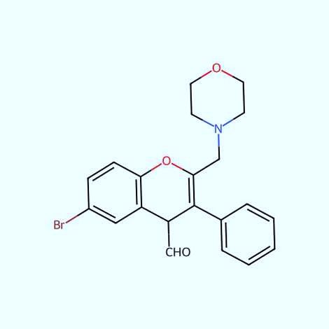 O=CC1C(c2ccccc2)=C(CN2CCOCC2)Oc2ccc(Br)cc21